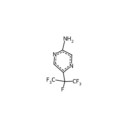 Nc1cnc(C(F)(C(F)(F)F)C(F)(F)F)cn1